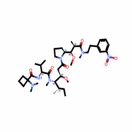 CC[C@H](C)[C@@H]([C@@H](CC(=O)N1CCC[C@H]1[C@H](OC)[C@@H](C)C(=O)N(C)CCc1cccc([N+](=O)[O-])c1)OC)N(C)C(=O)[C@@H](NC(=O)C1(N(C)C)CCC1)C(C)C